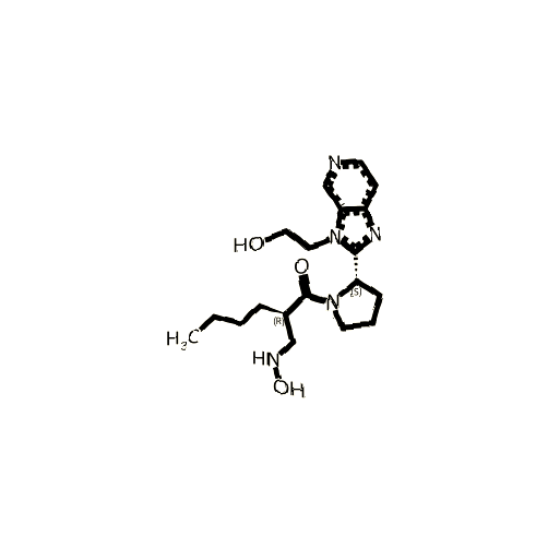 CCCC[C@H](CNO)C(=O)N1CCC[C@H]1c1nc2ccncc2n1CCO